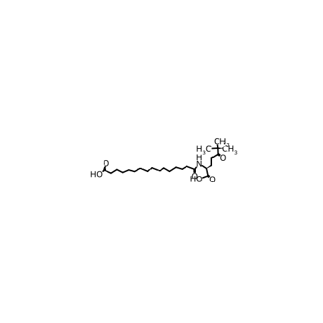 CC(C)(C)C(=O)CC[C@H](NC(=O)CCCCCCCCCCCCCCC(=O)O)C(=O)O